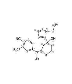 CCN(c1ccc(C#N)c(C(F)(F)F)c1)C1CCCC(O)(c2cncn2CC(C)C)C1